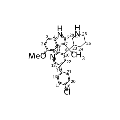 COc1ccc2[nH]cc(C(C)(c3cncc(-c4ccc(Cl)cc4)c3)C3CCCNC3)c2c1